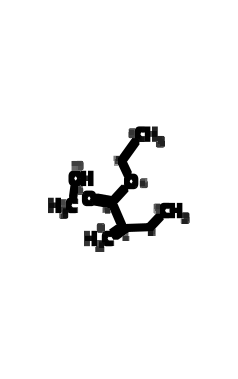 C=C(CC)C(=O)OCC.CO